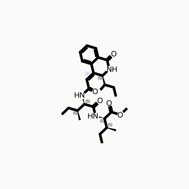 CCC(C)[C@@H]1NC(=O)c2ccccc2/C1=C/C(=O)N[C@H](C(=O)N[C@H](C(=O)OC)[C@@H](C)CC)[C@@H](C)CC